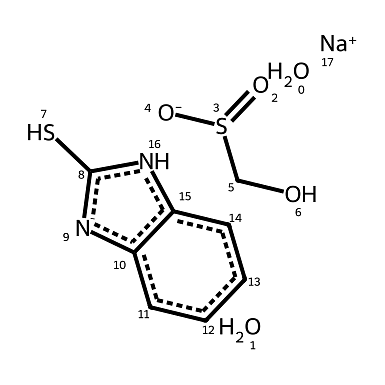 O.O.O=S([O-])CO.Sc1nc2ccccc2[nH]1.[Na+]